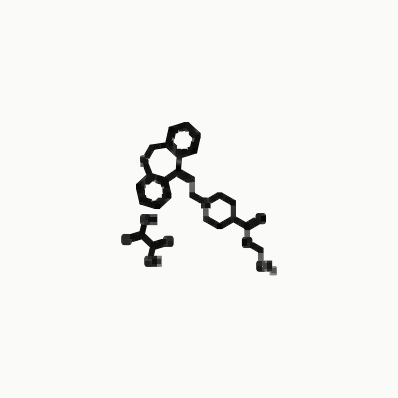 CCOC(=O)C1CCN(CC=C2c3ccccc3CSc3ccccc32)CC1.O=C(O)C(=O)O